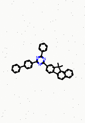 CC1(C)c2cc(-c3nc(-c4ccccc4)nc(-c4ccc(-c5ccccc5)cc4)n3)ccc2-c2ccc3ccccc3c21